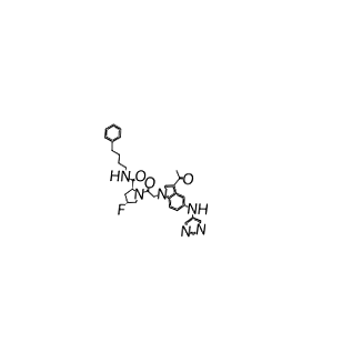 CC(=O)c1cn(CC(=O)N2C[C@H](F)C[C@H]2C(=O)NCCCCc2ccccc2)c2ccc(Nc3cncnc3)cc12